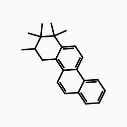 CC1Cc2c(ccc3c2ccc2ccccc23)C(C)(C)C1(C)C